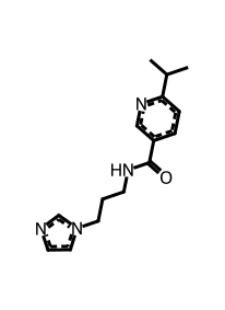 CC(C)c1ccc(C(=O)NCCCn2ccnc2)cn1